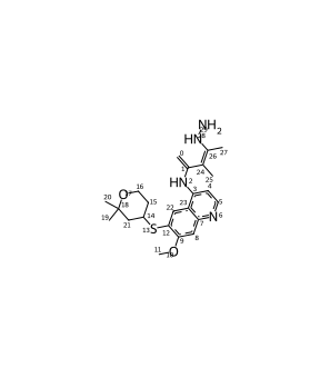 C=C(Nc1ccnc2cc(OC)c(SC3CCOC(C)(C)C3)cc12)/C(C)=C(/C)NN